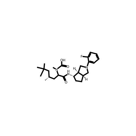 C[C@@H](CC(C(=O)N[C@H]1CC[C@@H]2CN(c3ccccc3F)C[C@@H]21)N(C)C(=O)O)CC(C)(C)C